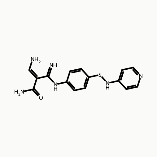 N=C(Nc1ccc(SNc2ccncc2)cc1)/C(=C\N)C(N)=O